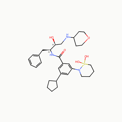 O=C(N[C@@H](Cc1ccccc1)[C@@H](O)CNC1CCOCC1)c1cc(C2CCCC2)cc(N2CCCCS2(O)O)c1